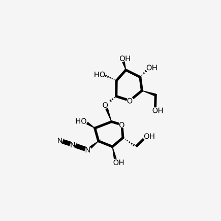 [N-]=[N+]=N[C@H]1[C@@H](O)[C@@H](O[C@H]2O[C@H](CO)[C@@H](O)[C@H](O)[C@H]2O)O[C@H](CO)[C@H]1O